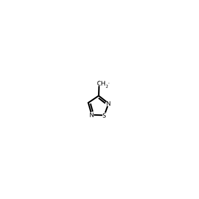 [CH2]c1cnsn1